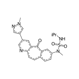 CC(C)NS(=O)(=O)N(C)c1ccc2ccc3ncc(-c4cnn(C)c4)cc3c(=O)c2c1